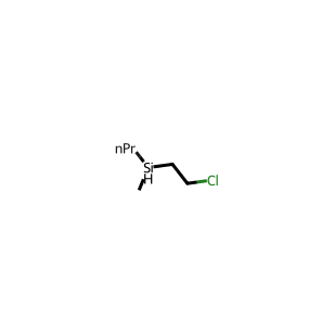 CCC[SiH](C)CCCl